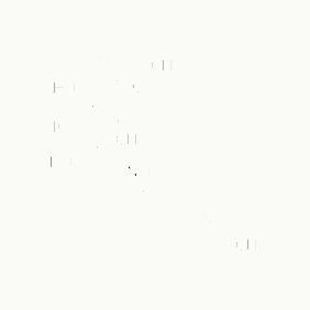 COC(=O)C(C)(C)C(O)C(C)(C)CNC(=O)CCSSC